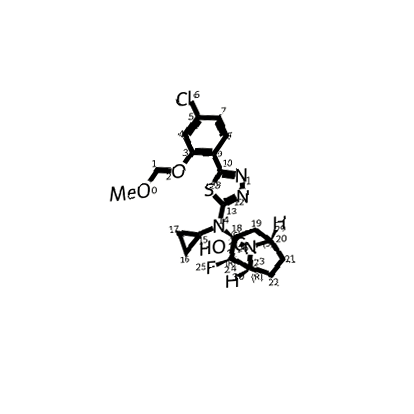 COCOc1cc(Cl)ccc1-c1nnc(N(C2CC2)[C@H]2C[C@@H]3CC[C@H]([C@H]2F)N3C(=O)O)s1